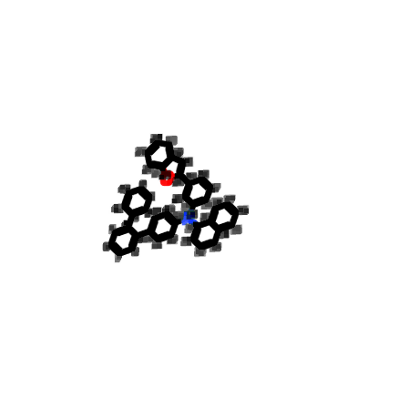 c1ccc(-c2ccccc2-c2ccc(N(c3cccc(-c4cc5ccccc5o4)c3)c3cccc4ccccc34)cc2)cc1